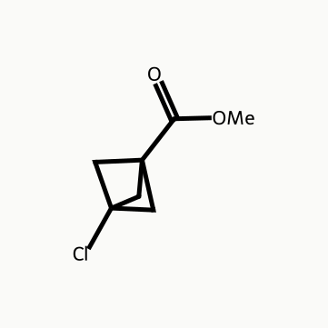 COC(=O)C12CC(Cl)(C1)C2